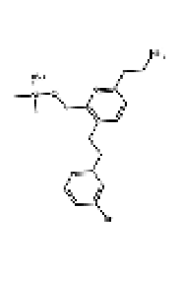 CC(C)(C)[Si](C)(C)OCc1nc(CCN)ccc1CCc1cccc(Br)c1